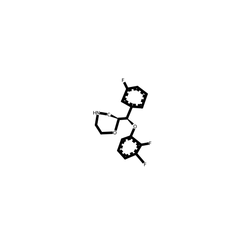 Fc1cccc([C@@H](Oc2cccc(F)c2F)[C@@H]2CNCCO2)c1